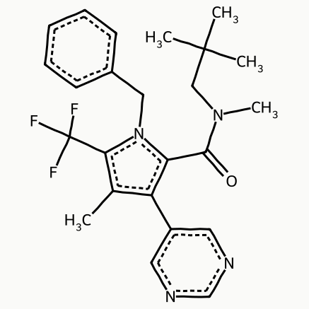 Cc1c(-c2cncnc2)c(C(=O)N(C)CC(C)(C)C)n(Cc2ccccc2)c1C(F)(F)F